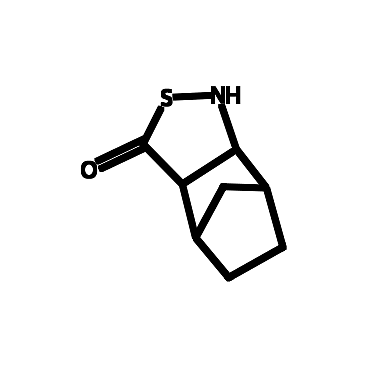 O=C1SNC2C3CCC(C3)C12